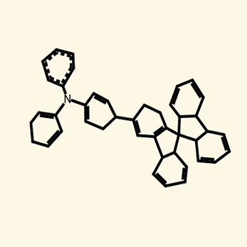 C1=CC2C3=C(CCC(C4C=CC(N(C5=CCCC=C5)c5ccccc5)=CC4)=C3)C3(C2C=C1)C1C=CC=CC1C1C=CC=CC13